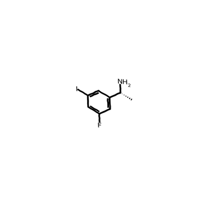 C[C@@H](N)c1cc(F)cc(I)c1